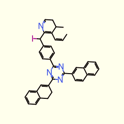 C/C=C\C1=C(C(I)c2ccc(-c3nc(C4=Cc5ccccc5CC4)nc(-c4ccc5ccccc5c4)n3)cc2)N=CCC1C